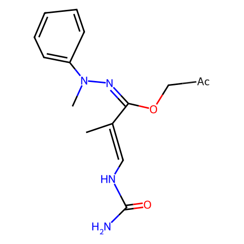 CC(=O)COC(=N/N(C)c1ccccc1)/C(C)=C/NC(N)=O